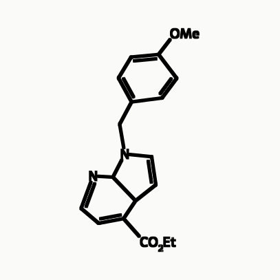 CCOC(=O)C1=CC=NC2C1C=CN2Cc1ccc(OC)cc1